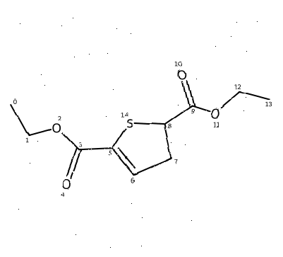 CCOC(=O)C1=CCC(C(=O)OCC)S1